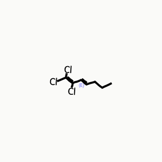 CCC/C=C/C(Cl)=C(Cl)Cl